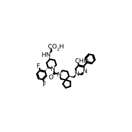 O=CC1=C(c2ccccc2)N=CN(C[C@@H]2CCN(C(=O)N3CC[C@@H](NCC(=O)O)C[C@H]3c3cc(F)ccc3F)CC23CCCC3)C1